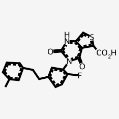 Cc1cccc(CCc2ccc(F)c(-n3c(=O)[nH]c4csc(C(=O)O)c4c3=O)c2)c1